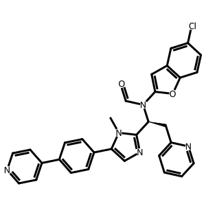 Cn1c(-c2ccc(-c3ccncc3)cc2)cnc1[C@H](Cc1ccccn1)N(C=O)c1cc2cc(Cl)ccc2o1